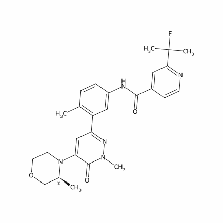 Cc1ccc(NC(=O)c2ccnc(C(C)(C)F)c2)cc1-c1cc(N2CCOC[C@@H]2C)c(=O)n(C)n1